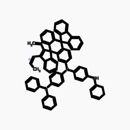 C=CC1=C(/C=C\C)c2ccccc2C12c1ccccc1C1(c3ccccc3-c3ccccc31)c1ccc(N(c3ccc(NC4=CC=CCC4)cc3)c3ccc(N(c4ccccc4)c4ccccc4)cc3)cc12